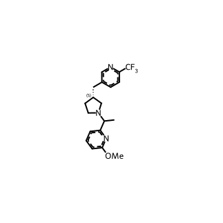 COc1cccc(C(C)N2CC[C@H](Cc3ccc(C(F)(F)F)nc3)C2)n1